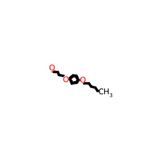 CCCCCCOc1ccc(OCCC[C]=O)cc1